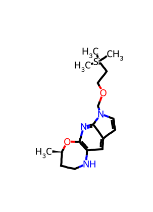 C[C@@H]1CCNc2cc3ccn(COCC[Si](C)(C)C)c3nc2O1